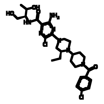 CC[C@H]1CN(c2nc(N)c(C(=O)N[C@@H](CO)C(C)O)nc2Cl)CCN1C1CCN(C(=O)c2ccc(Cl)cc2)CC1